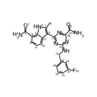 Cc1[nH]c2c(C(N)=O)cccc2c1-c1nc(NCc2cccc(F)c2)nc(C(N)=O)n1